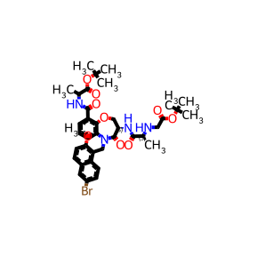 COc1ccc2cc(Br)ccc2c1CN1C(=O)[C@@H](NC(=O)[C@H](C)NCC(=O)OC(C)(C)C)COc2c(C(=O)NC(C)C(=O)OC(C)(C)C)cccc21